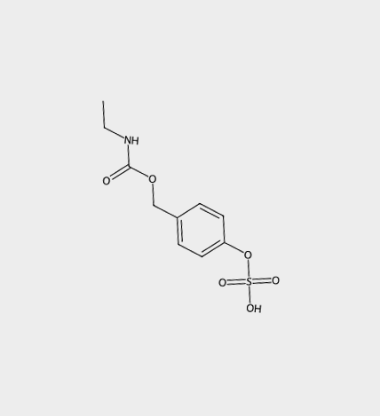 CCNC(=O)OCc1ccc(OS(=O)(=O)O)cc1